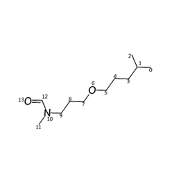 CC(C)CCCOCCCN(C)C=O